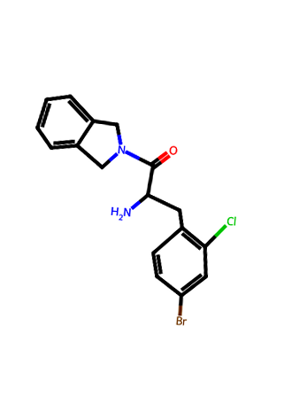 NC(Cc1ccc(Br)cc1Cl)C(=O)N1Cc2ccccc2C1